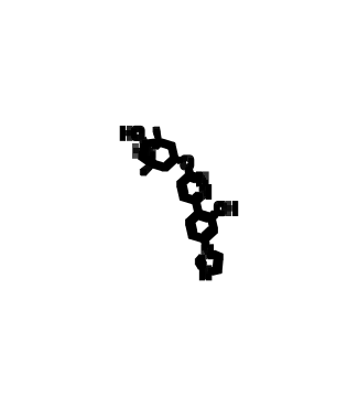 C[C@]12C[C@H](Oc3ccc(-c4ccc(-n5ccnc5)cc4O)nn3)C[C@](C)(N1)[C@H](O)C2